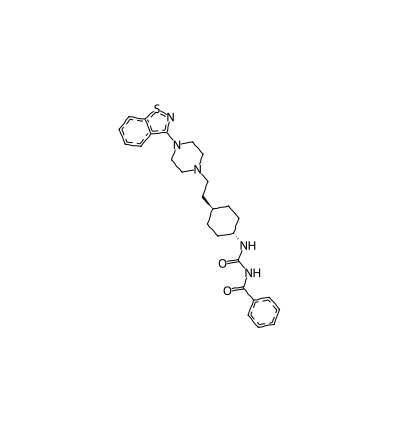 O=C(NC(=O)c1ccccc1)N[C@H]1CC[C@H](CCN2CCN(c3nsc4ccccc34)CC2)CC1